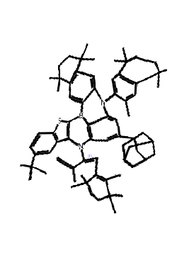 C=C(C)/C(=C\C1=C(C)C(C)(C)CCC1(C)C)N1c2cc(C34CC5CC(CC(C5)C3)C4)cc3c2B(c2cc4c(cc2N3c2cc3c(cc2C)C(C)(C)CCC3(C)C)C(C)(C)CCC4(C)C)c2sc3ccc(C(C)(C)C)cc3c21